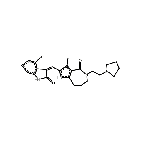 Cc1c(C=C2C(=O)Nc3cccc(Br)c32)[nH]c2c1C(=O)N(CCN1CCCC1)CCC2